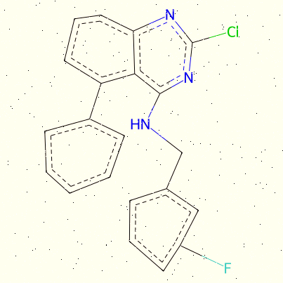 Fc1cccc(CNc2nc(Cl)nc3cccc(-c4ccccc4)c23)c1